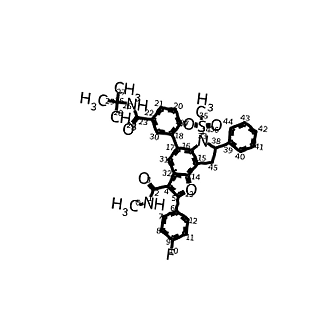 CNC(=O)c1c(-c2ccc(F)cc2)oc2c3c(c(-c4cccc(C(=O)NC(C)(C)C)c4)cc12)N(S(C)(=O)=O)C(c1ccccc1)C3